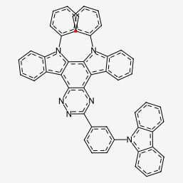 c1ccc(-n2c3ccccc3c3c4nnc(-c5cccc(-n6c7ccccc7c7ccccc76)c5)nc4c4c5ccccc5n(-c5ccccc5)c4c32)cc1